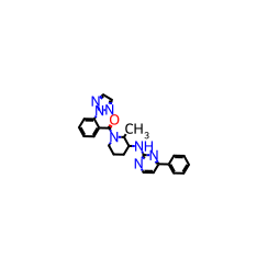 CC1C(Nc2nccc(-c3ccccc3)n2)CCCN1C(=O)c1ccccc1-n1nccn1